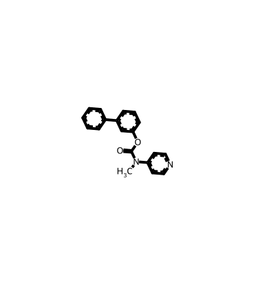 CN(C(=O)Oc1cccc(-c2ccccc2)c1)c1ccncc1